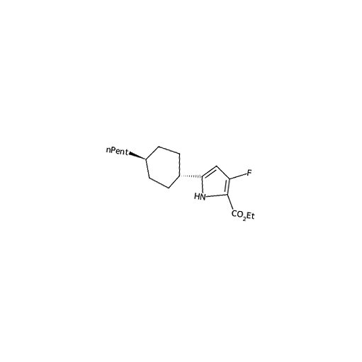 CCCCC[C@H]1CC[C@H](c2cc(F)c(C(=O)OCC)[nH]2)CC1